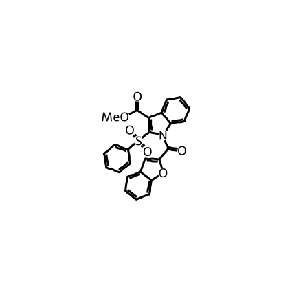 COC(=O)c1c(S(=O)(=O)c2ccccc2)n(C(=O)c2cc3ccccc3o2)c2ccccc12